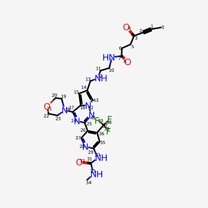 CC#CC(=O)CCC(=O)NCCNCc1cc2c(N3CCOCC3)nc(-c3cnc(NC(=O)NC)cc3C(F)(F)F)nn2c1